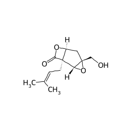 CC(C)=CC[C@]12C(=O)O[C@H]1C[C@]1(CO)O[C@@H]12